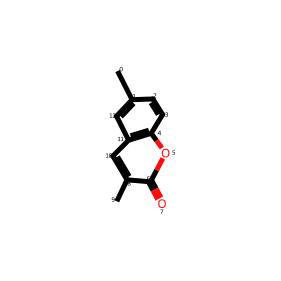 Cc1ccc2oc(=O)c(C)cc2c1